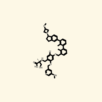 CNc1cncc(COc2cc(OCc3cccc(-c4cccc(-c5ccc6c(c5)CCC6N5CC(OC)C5)c4C)c3C)c(Cl)cc2CN[C@@](C)(CO)C(=O)O)c1